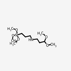 COC(CCNCCC[Si](OC)(OC)OC)OC